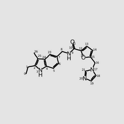 CCc1[nH]c2ccc(CNC(=O)c3ccc(Cn4ccnc4)o3)cc2c1C